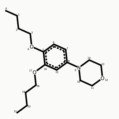 CCCCOc1ccc(N2CCOCC2)cc1OCCCC